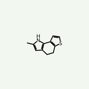 Cc1cc2c([nH]1)-c1ccsc1CC2